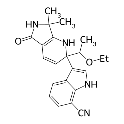 CCOC(C)C1(c2c[nH]c3c(C#N)cccc23)C=CC2=C(N1)C(C)(C)NC2=O